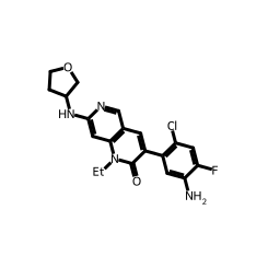 CCn1c(=O)c(-c2cc(N)c(F)cc2Cl)cc2cnc(NC3CCOC3)cc21